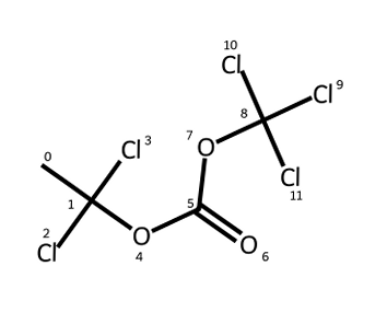 CC(Cl)(Cl)OC(=O)OC(Cl)(Cl)Cl